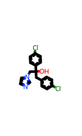 OC(Cc1ccc(Cl)cc1)(Cn1ccnc1)c1ccc(Cl)cc1